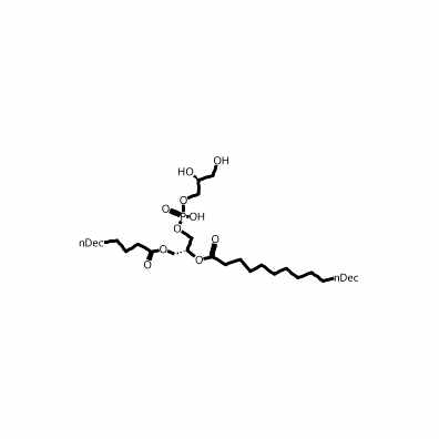 CCCCCCCCCCCCCCCCCCCC(=O)O[C@H](COC(=O)CCCCCCCCCCCCC)COP(=O)(O)OC[C@@H](O)CO